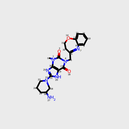 Cn1c(=O)n(CC2=Nc3ccccc3OCC2)c(=O)c2[nH]c(N3CCCC(N)C3)nc21